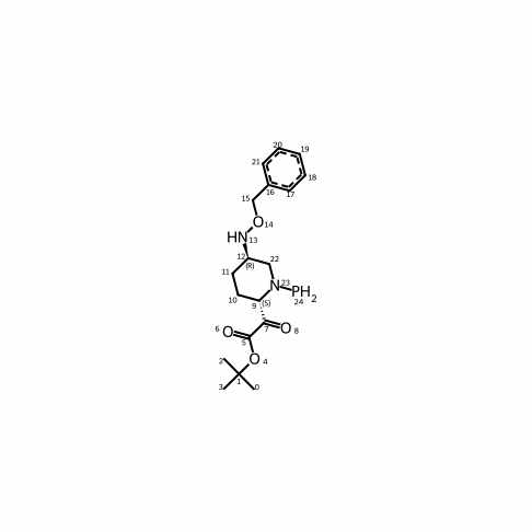 CC(C)(C)OC(=O)C(=O)[C@@H]1CC[C@@H](NOCc2ccccc2)CN1P